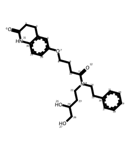 O=C1CCc2cc(OCCCC(=O)N(CCc3ccccc3)CCC(O)CO)ccc2N1